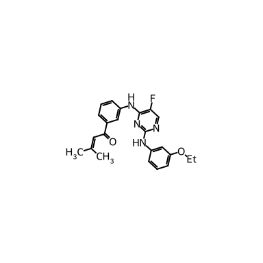 CCOc1cccc(Nc2ncc(F)c(Nc3cccc(C(=O)C=C(C)C)c3)n2)c1